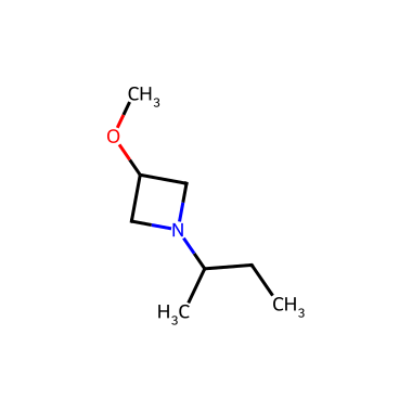 CCC(C)N1CC(OC)C1